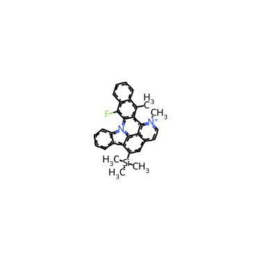 Cc1c2ccccc2c(F)c2c1c1c3c(cc[n+]1C)cc([Si](C)(C)C)c1c4ccccc4n2c13